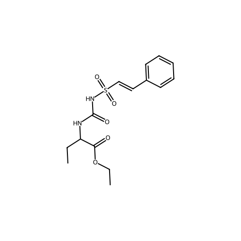 CCOC(=O)C(CC)NC(=O)NS(=O)(=O)C=Cc1ccccc1